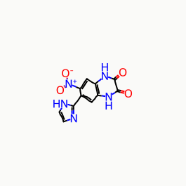 O=c1[nH]c2cc(-c3ncc[nH]3)c([N+](=O)[O-])cc2[nH]c1=O